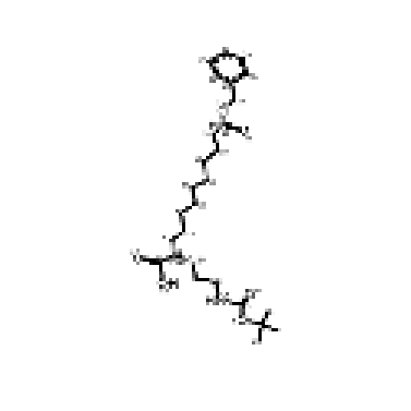 CC(C)(C)OC(=O)NCCN[C@H](CCCCCCCCC[PH](=O)OCc1ccccc1)C(=O)O